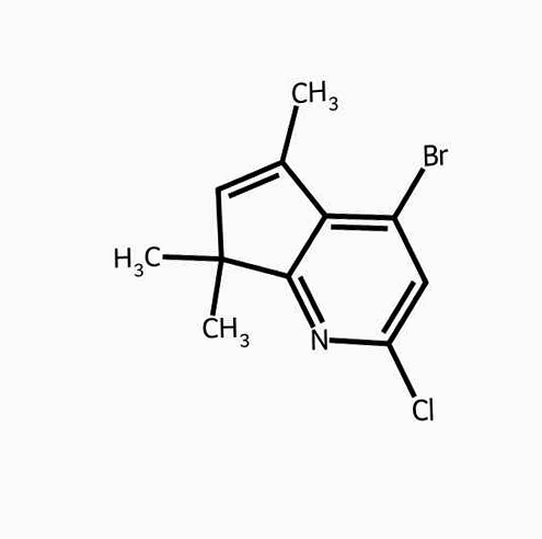 CC1=CC(C)(C)c2nc(Cl)cc(Br)c21